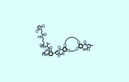 C=C(Nc1ccc(C2=CN3C(=O)c4cc5c(cc4N=C[C@@H]3C2)OCCCOc2cc3c(cc2OCCCCCCCCO5)C(=O)N2C=C(C)C[C@H]2C=N3)cc1)[C@H](C)NC(=O)[C@@H](NC(=O)CCCNC(=O)CCN1C(=O)C=CC1=O)C(C)C